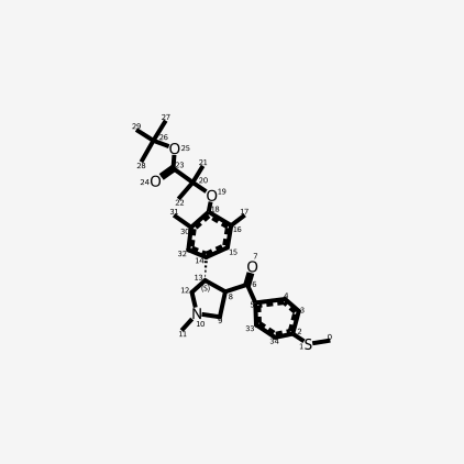 CSc1ccc(C(=O)C2CN(C)C[C@@H]2c2cc(C)c(OC(C)(C)C(=O)OC(C)(C)C)c(C)c2)cc1